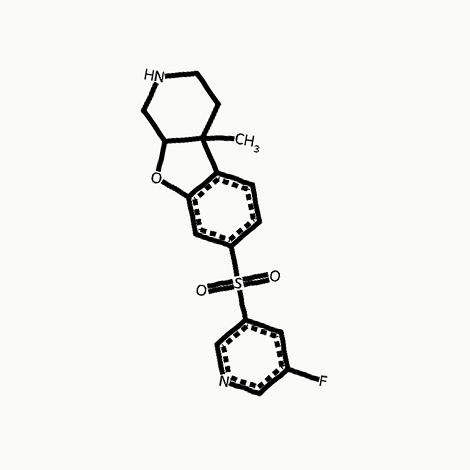 CC12CCNCC1Oc1cc(S(=O)(=O)c3cncc(F)c3)ccc12